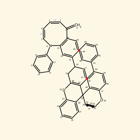 C=C1/C=C\C=C/N(c2ccccc2)c2cc(C3C=CC4=C(C3)Oc3ccccc3C43c4ccccc4Oc4ccc(-c5ccccc5)cc43)ccc21